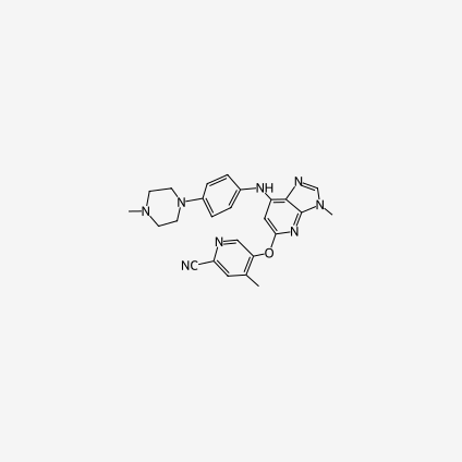 Cc1cc(C#N)ncc1Oc1cc(Nc2ccc(N3CCN(C)CC3)cc2)c2ncn(C)c2n1